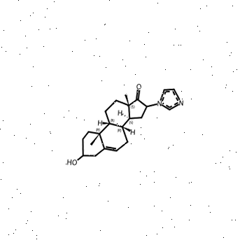 C[C@]12CCC(O)CC1=CC[C@@H]1[C@H]2CC[C@]2(C)C(=O)C(n3ccnc3)C[C@@H]12